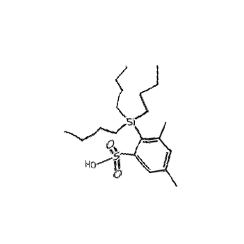 CCCC[Si](CCCC)(CCCC)c1c(C)cc(C)cc1S(=O)(=O)O